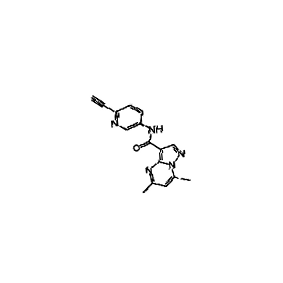 C#Cc1ccc(NC(=O)c2cnn3c(C)cc(C)nc23)cn1